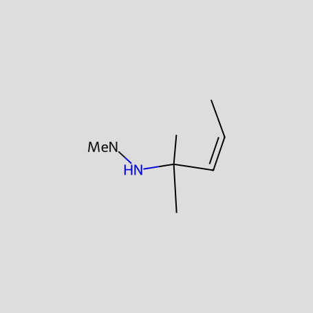 C/C=C\C(C)(C)NNC